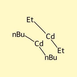 CCC[CH2][Cd][CH2]CCC.C[CH2][Cd][CH2]C